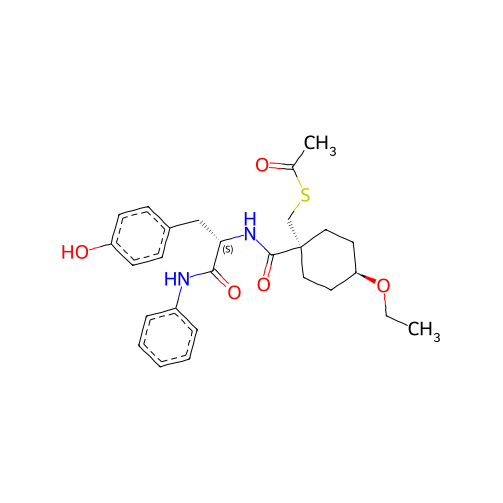 CCO[C@H]1CC[C@@](CSC(C)=O)(C(=O)N[C@@H](Cc2ccc(O)cc2)C(=O)Nc2ccccc2)CC1